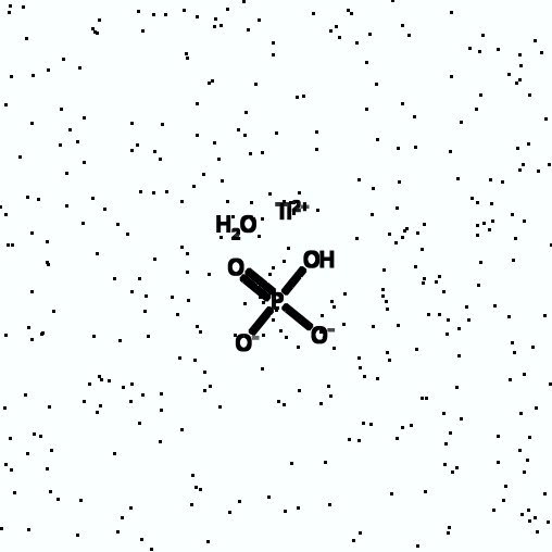 O.O=P([O-])([O-])O.[Ti+2]